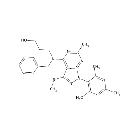 CSc1nn(-c2c(C)cc(C)cc2C)c2nc(C)nc(N(CCCO)Cc3ccccc3)c12